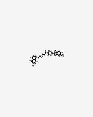 O=C(CCOCCc1cccc2c(=O)[nH]ncc12)N1CCN(c2nc3cc(Cl)ccc3o2)CC1